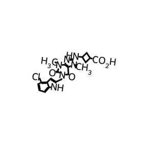 Cn1c(NC2CC(C(=O)O)C2)nc2c1c(=O)n(Cc1cc3c(Cl)cccc3[nH]1)c(=O)n2C